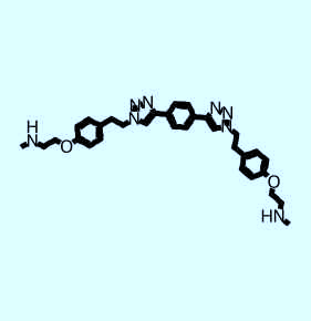 CNCCOc1ccc(CCn2cc(-c3ccc(-c4cn(CCc5ccc(OCCNC)cc5)nn4)cc3)nn2)cc1